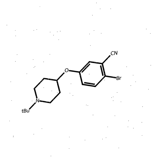 CC(C)(C)N1CCC(Oc2ccc(Br)c(C#N)c2)CC1